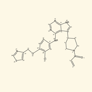 C=CC(=O)N1CCC(c2c[nH]c3ncnc(Nc4ccc(OCc5cscn5)c(Cl)c4)c23)CC1